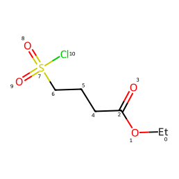 CCOC(=O)CCCS(=O)(=O)Cl